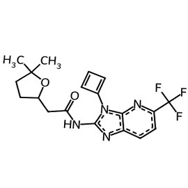 CC1(C)CCC(CC(=O)Nc2nc3ccc(C(F)(F)F)nc3n2C2=CC=C2)O1